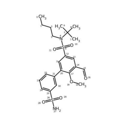 CCCCN(C(C)(C)C)S(=O)(=O)c1cc(C=O)c(OC)c(-c2cccc(S(N)(=O)=O)c2)c1